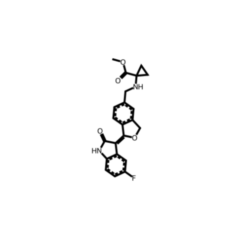 COC(=O)C1(NCc2ccc3c(c2)COC3=C2C(=O)Nc3ccc(F)cc32)CC1